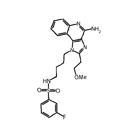 COCCc1nc2c(N)nc3ccccc3c2n1CCCCNS(=O)(=O)c1cccc(F)c1